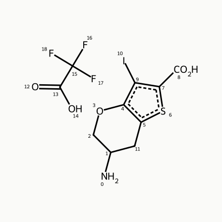 NC1COc2c(sc(C(=O)O)c2I)C1.O=C(O)C(F)(F)F